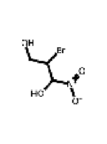 O=[N+]([O-])C(O)C(Br)CO